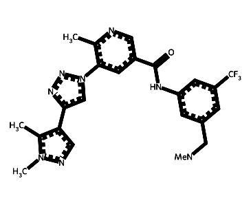 CNCc1cc(NC(=O)c2cnc(C)c(-n3cc(-c4cnn(C)c4C)nn3)c2)cc(C(F)(F)F)c1